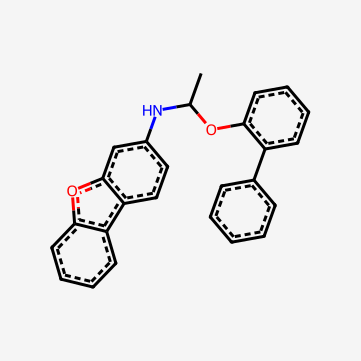 CC(Nc1ccc2c(c1)oc1ccccc12)Oc1ccccc1-c1ccccc1